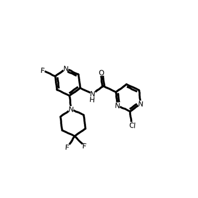 O=C(Nc1cnc(F)cc1N1CCC(F)(F)CC1)c1ccnc(Cl)n1